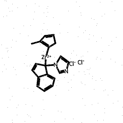 CC1=[C]([Zr+2][C]2(n3ccnc3)C=Cc3ccccc32)CC=C1.[Cl-].[Cl-]